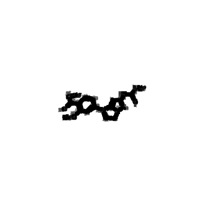 CNC(=O)Nc1cc2n(n1)CCN2c1ccc(C(=O)OC)c(OC)c1